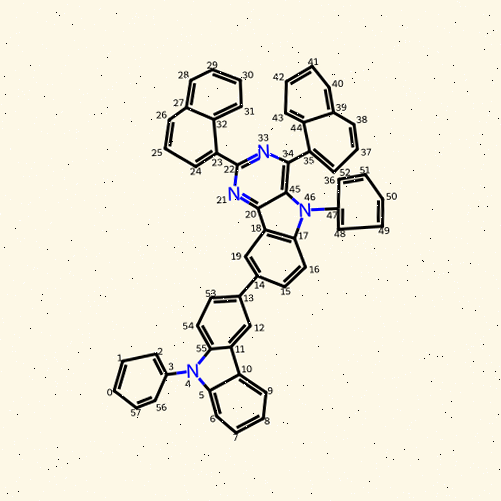 c1ccc(-n2c3ccccc3c3cc(-c4ccc5c(c4)c4nc(-c6cccc7ccccc67)nc(-c6cccc7ccccc67)c4n5-c4ccccc4)ccc32)cc1